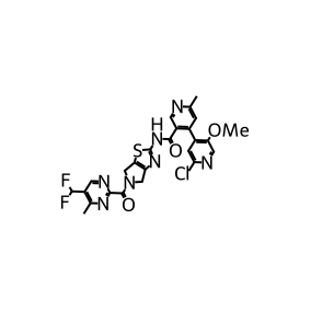 COc1cnc(Cl)cc1-c1cc(C)ncc1C(=O)Nc1nc2c(s1)CN(C(=O)c1ncc(C(F)F)c(C)n1)C2